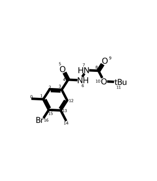 Cc1cc(C(=O)NNC(=O)OC(C)(C)C)cc(C)c1Br